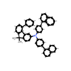 CC1(C)c2ccc(N(c3ccc(-c4cccc5ccccc45)cc3)c3ccc(-c4cccc5ccccc45)cc3)cc2-c2c(-c3ccccc3)cccc21